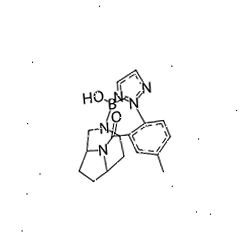 CB(O)N1CCC2CCC(C1)N2C(=O)c1cc(C)ccc1-n1nccn1